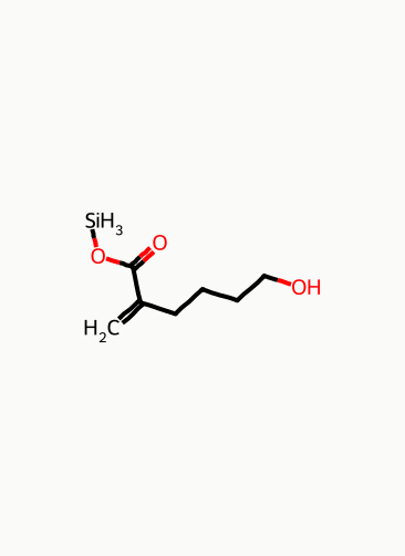 C=C(CCCCO)C(=O)O[SiH3]